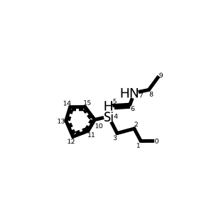 CCCC[SiH](C=CNCC)c1ccccc1